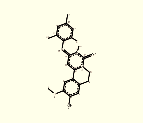 COc1cc2c(cc1O)CCn1c-2c/c(=N/c2c(C)cc(C)cc2C)n(C)c1=O